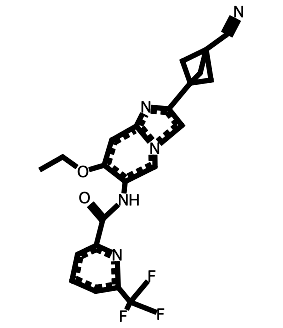 CCOc1cc2nc(C34CC(C#N)(C3)C4)cn2cc1NC(=O)c1cccc(C(F)(F)F)n1